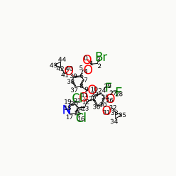 O=C(CBr)OCc1cc(C(=O)OC(Cc2c(Cl)cncc2Cl)c2ccc(OC(F)F)c(OCC3CC3)c2)ccc1OCC1CC1